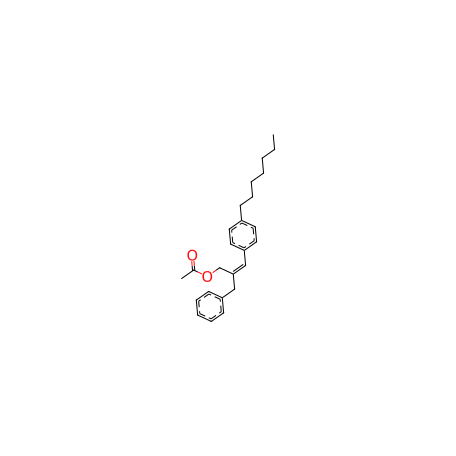 CCCCCCCc1ccc(/C=C(\COC(C)=O)Cc2ccccc2)cc1